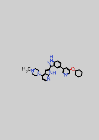 CN1CCN(c2ccnc3[nH]c(-c4n[nH]c5ccc(-c6cncc(OC7CCCCC7)c6)cc45)cc23)CC1